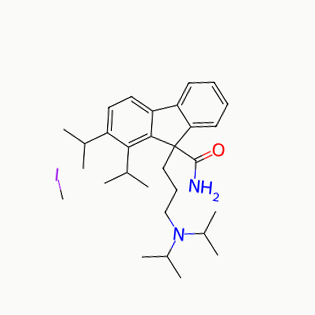 CC(C)c1ccc2c(c1C(C)C)C(CCCN(C(C)C)C(C)C)(C(N)=O)c1ccccc1-2.CI